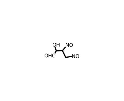 O=CC(O)C(CN=O)N=O